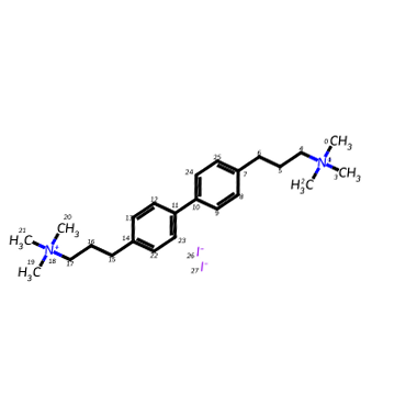 C[N+](C)(C)CCCc1ccc(-c2ccc(CCC[N+](C)(C)C)cc2)cc1.[I-].[I-]